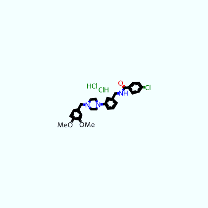 COc1ccc(CN2CCN(c3cccc(CNC(=O)c4ccc(Cl)cc4)c3)CC2)cc1OC.Cl.Cl